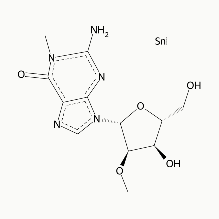 CO[C@@H]1[C@H](O)[C@@H](CO)O[C@H]1n1cnc2c(=O)n(C)c(N)nc21.[Sn]